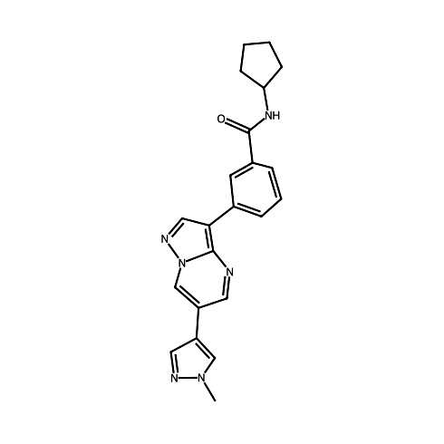 Cn1cc(-c2cnc3c(-c4cccc(C(=O)NC5CCCC5)c4)cnn3c2)cn1